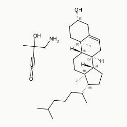 CC(C)CCCC(C)[C@H]1CC[C@H]2[C@@H]3CC=C4C[C@@H](O)CC[C@]4(C)[C@H]3CC[C@]12C.CC(O)(C#P=O)CN